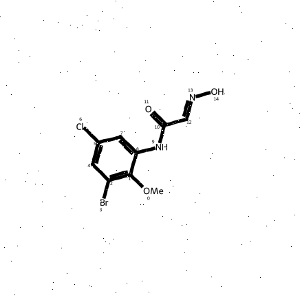 COc1c(Br)cc(Cl)cc1NC(=O)C=NO